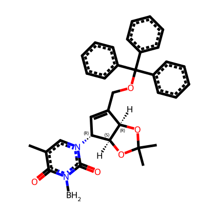 Bn1c(=O)c(C)cn([C@@H]2C=C(COC(c3ccccc3)(c3ccccc3)c3ccccc3)[C@H]3OC(C)(C)O[C@H]32)c1=O